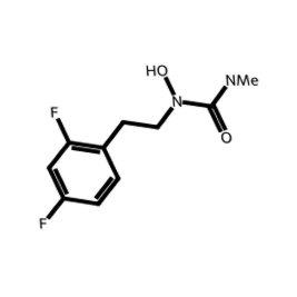 CNC(=O)N(O)CCc1ccc(F)cc1F